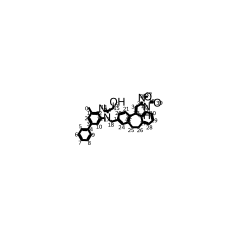 Cc1cc(-c2ccccc2)cc2c1nc(CO)n2Cc1ccc2c(c1)CCc1ccccc1C2=Cc1noc(=O)[nH]1